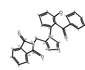 O=C(c1ccccc1)c1c(Cl)cccc1-n1cnnc1CN1C(=O)c2ccccc2C1=O